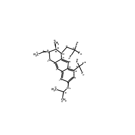 CC[C@@H]1Oc2cc3nc(OC(C)C)cc(C(F)(F)F)c3cc2N(CC(F)(F)F)[C@@H]1C